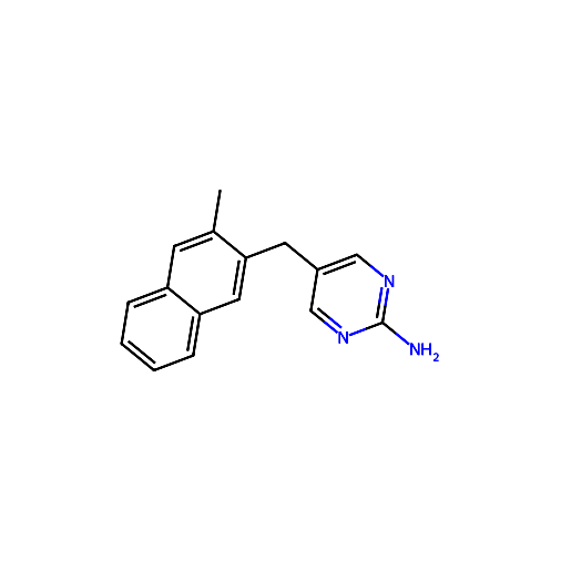 Cc1cc2ccccc2cc1Cc1cnc(N)nc1